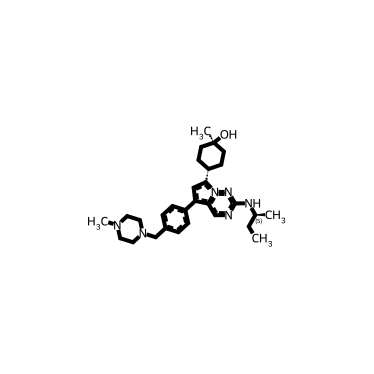 CC[C@H](C)Nc1ncc2c(-c3ccc(CN4CCN(C)CC4)cc3)cc([C@H]3CC[C@](C)(O)CC3)n2n1